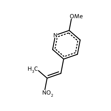 COc1ccc(/C=C(\C)[N+](=O)[O-])cn1